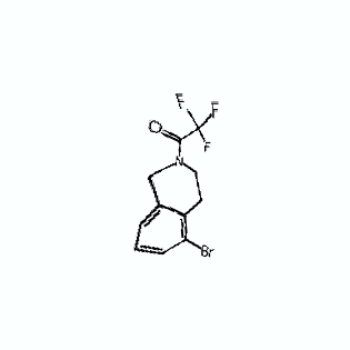 O=C(N1CCc2c(Br)cccc2C1)C(F)(F)F